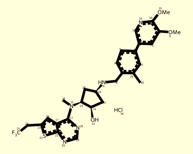 COc1cc(-c2ccc(CN[C@H]3C[C@@H](O)[C@@H](N(C)c4ncnc5sc(CC(F)(F)F)cc45)C3)c(C)c2)cnc1OC.Cl